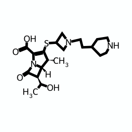 CC(O)[C@H]1C(=O)N2C(C(=O)O)=C(SC3CN(CCC4CCNCC4)C3)[C@H](C)[C@H]12